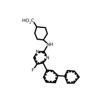 O=C(O)C1CCC(Nc2ncc(F)c(-c3cccc(-c4ccccc4)c3)n2)CC1